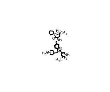 Cc1cc(-c2nc3cc(CNC(CC(C)C)C(=O)OC4CCCC4)ccc3n2CC2CCN(C)CC2)c[nH]c1=O